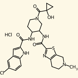 CN1CCc2nc(C(=O)NC3CN(C(=O)C4(O)CC4)CCC3NC(=O)c3cc4cc(Cl)ccc4[nH]3)sc2C1.Cl